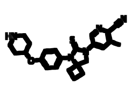 Cc1cc(N2CC3(CCC3)N(c3ccc(OC4CCNCC4)cc3)C2=S)cnc1C#N